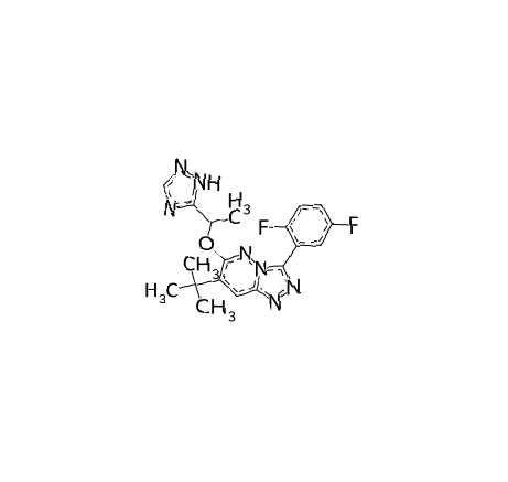 CC(Oc1nn2c(-c3cc(F)ccc3F)nnc2cc1C(C)(C)C)c1ncn[nH]1